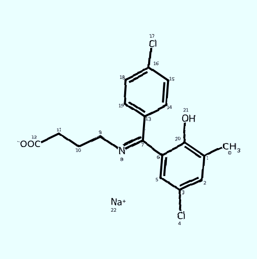 Cc1cc(Cl)cc(C(=NCCCC(=O)[O-])c2ccc(Cl)cc2)c1O.[Na+]